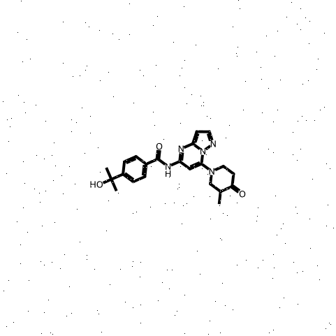 CC1CN(c2cc(NC(=O)c3ccc(C(C)(C)O)cc3)nc3ccnn23)CCC1=O